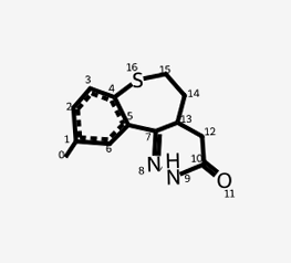 Cc1ccc2c(c1)C1=NNC(=O)CC1CCS2